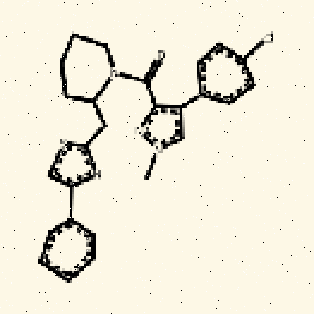 Cn1cc(-c2ccc(Cl)cc2)c(C(=O)N2CCCCC2Cc2nc(-c3ccccc3)cs2)n1